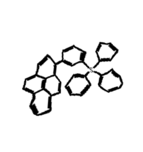 c1ccc(S(c2ccccc2)(c2ccccc2)c2cccc(-c3ccc4ccc5cccc6ccc3c4c56)c2)cc1